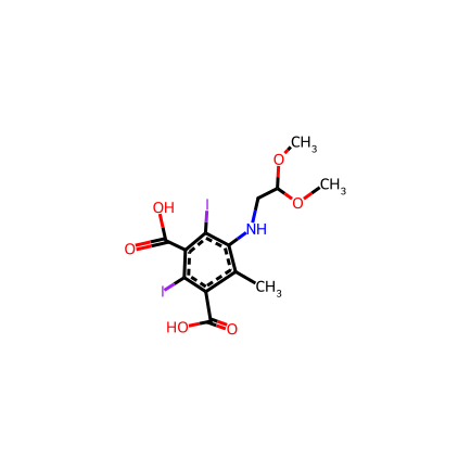 COC(CNc1c(C)c(C(=O)O)c(I)c(C(=O)O)c1I)OC